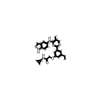 CCc1cc(OCC(=O)NC2CC2)cc(-c2ncc(C)c(Nc3ccc4[nH]ncc4c3)n2)c1